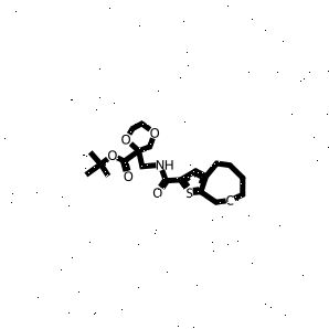 CC(C)(C)OC(=O)C1(CNC(=O)c2cc3c(s2)CCCCCC3)COCCO1